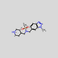 Cn1nnc2ccc(CN(CC3CCNCC3)S(C)(=O)=O)cc21